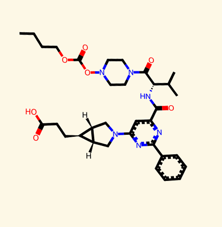 CCCCOC(=O)ON1CCN(C(=O)[C@@H](NC(=O)c2cc(N3C[C@@H]4[C@@H](CCC(=O)O)[C@@H]4C3)nc(-c3ccccc3)n2)C(C)C)CC1